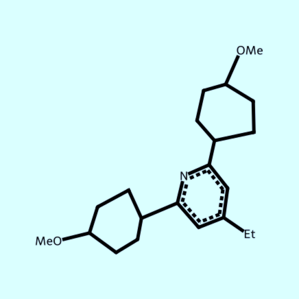 CCc1cc(C2CCC(OC)CC2)nc(C2CCC(OC)CC2)c1